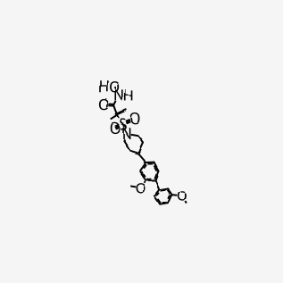 COc1cccc(-c2ccc(C3CCN(S(=O)(=O)C(C)(C)C(=O)NO)CC3)cc2OC)c1